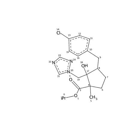 CC(C)OC(=O)C1(C)CCC(Cc2ccc(Cl)cc2)C1(O)Cn1cncn1